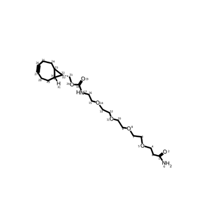 NC(=O)CCOCCOCCOCCOCCNC(=O)OC[C@H]1C2CCC#CCC[C@H]21